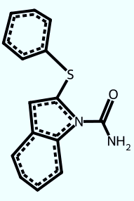 NC(=O)n1c(Sc2ccccc2)cc2ccccc21